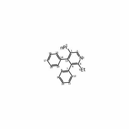 CCCc1[c]nc(CC)c(-c2ccccc2)c1-c1ccccc1